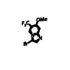 COc1cc2ncc(Br)n2cc1C(F)(F)F